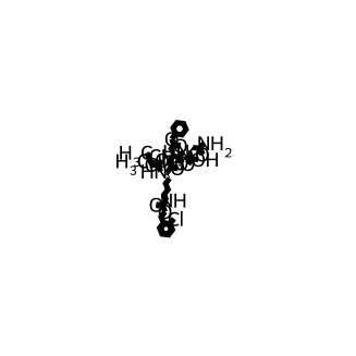 CC(C)(C)OC(=O)N[C@@H](CCCCNC(=O)OCc1ccccc1Cl)C(=O)N[C@@H](CC(=O)OC1CCCCC1)C(=O)N[C@@H](CC(N)=O)C(=O)O